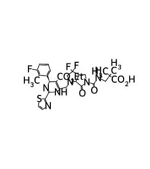 CCOC(=O)C1=C(CN2CC(F)(F)C3CN(C(=O)NCC(C)(C)C(=O)O)C(=O)C32)NC(c2nccs2)=N[C@H]1c1cccc(F)c1C